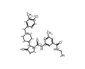 Cc1cc(C(=O)NCC(C)C)cc(NC(=O)[C@H]2CCC(=O)N2C2CCN(Cc3ccc(Cl)c(C)c3)CC2)n1